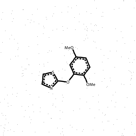 COc1ccc(OC)c(Oc2n[c]cs2)c1